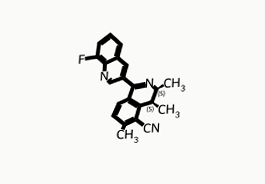 Cc1ccc2c(c1C#N)[C@H](C)[C@H](C)N=C2c1cnc2c(F)cccc2c1